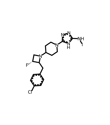 F[C@@H]1CN(C2CCN(c3nnc(NI)[nH]3)CC2)C1Cc1ccc(Cl)cc1